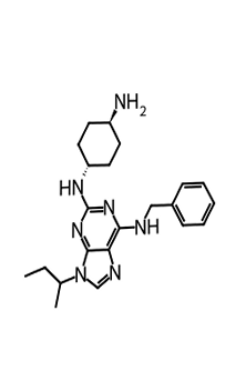 CCC(C)n1cnc2c(NCc3ccccc3)nc(N[C@H]3CC[C@H](N)CC3)nc21